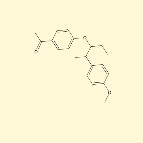 CCC(Oc1ccc(C(C)=O)cc1)C(C)c1ccc(OC)cc1